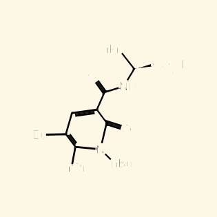 CCCCn1c(CCC)c(CC)cc(C(=O)N[C@H](C(=O)O)C(C)C)c1=O